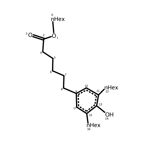 CCCCCCOC(=O)CCCCCc1cc(CCCCCC)c(O)c(CCCCCC)c1